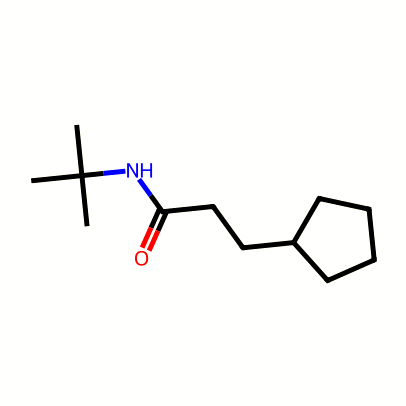 CC(C)(C)NC(=O)CCC1CCCC1